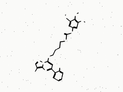 COc1cc(NC(=O)NCCCCNc2cc(-c3ccccc3Cl)nc3c(Br)cnn23)cc(OC)c1OC